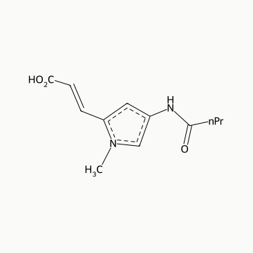 CCCC(=O)Nc1cc(C=CC(=O)O)n(C)c1